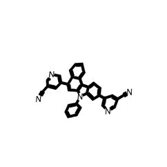 N#Cc1cncc(-c2ccc3c4c5ccccc5c(-c5cncc(C#N)c5)cc4n(-c4ccccc4)c3c2)c1